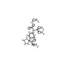 CCOC(=O)C(c1ccc(C2(C(N)=O)CCCC2)cc1)C(C)C